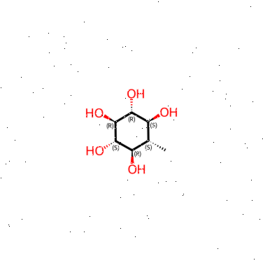 C[C@@H]1[C@@H](O)[C@H](O)[C@@H](O)[C@H](O)[C@H]1O